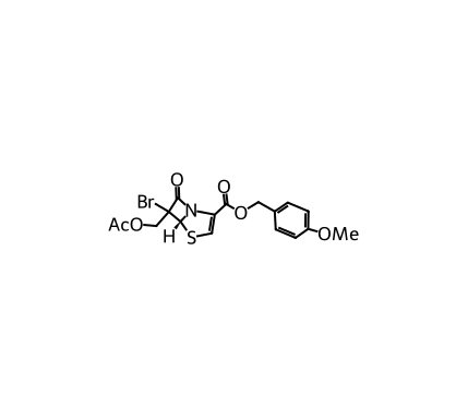 COc1ccc(COC(=O)C2=CS[C@H]3N2C(=O)C3(Br)COC(C)=O)cc1